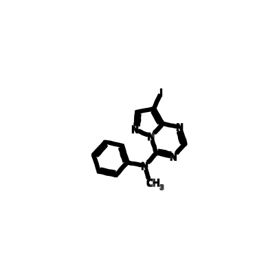 CN(c1ccccc1)c1ncnc2c(I)cnn12